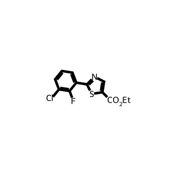 CCOC(=O)c1cnc(-c2cccc(Cl)c2F)s1